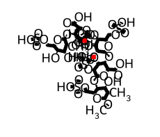 CO[C@H]1OC(COS(=O)(=O)O)[C@@H](O[C@@H]2OC(C(=O)O)[C@H](O[C@@H]3OC(COS(=O)(=O)O)[C@@H](O[C@@H]4OC(C(=O)O)[C@@H](O[C@H]5OC(COS(=O)(=O)O)[C@@H](O)[C@H](O)C5C)C(O)[C@@H]4O)[C@H](OS(=O)(=O)O)C3C)C(O)[C@@H]2OS(=O)(=O)O)[C@H](O)C1C